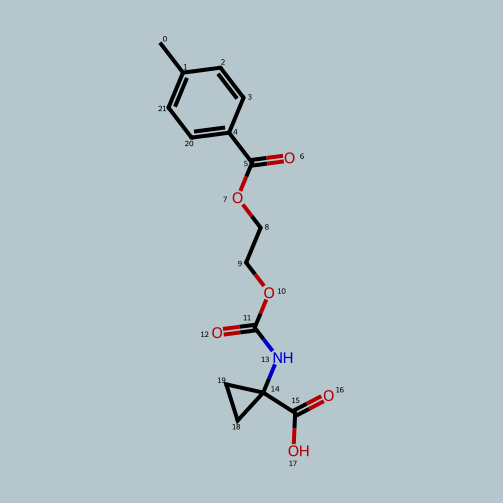 Cc1ccc(C(=O)OCCOC(=O)NC2(C(=O)O)CC2)cc1